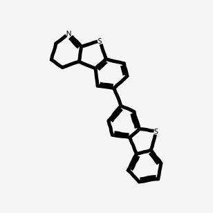 c1ccc2c(c1)sc1cc(-c3ccc4c(c3)C3CCCN=C3S4)ccc12